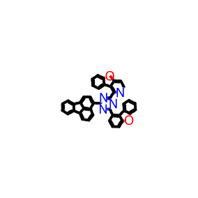 c1ccc2c(c1)-c1cccc3c(-c4nc(-c5cccc6oc7ccccc7c56)nc(-c5nccc6oc7ccccc7c56)n4)ccc-2c13